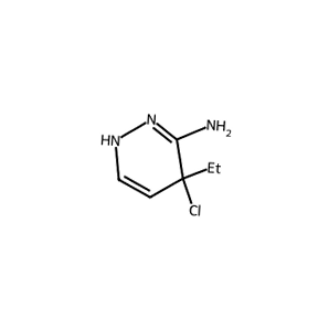 CCC1(Cl)C=CNN=C1N